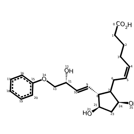 O=C(O)CCC/C=C\CC1[C@@H](/C=C/[C@@H](O)COc2ccccc2)[C@H](O)C[C@@H]1O